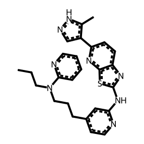 CCCN(CCCc1ccnc(Nc2nc3ccc(-c4cn[nH]c4C)nc3s2)c1)c1ccccn1